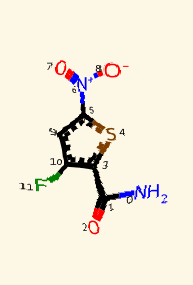 NC(=O)c1sc([N+](=O)[O-])cc1F